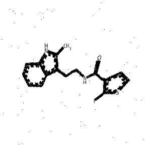 Cc1[nH]c2ccccc2c1CCNC(=O)c1ccsc1I